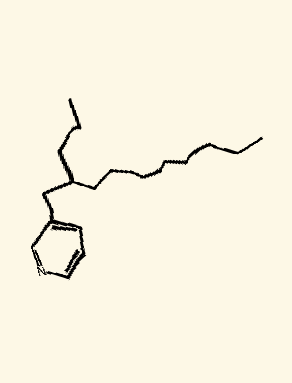 CCCCCCCCC(CCC)Cc1cccnc1